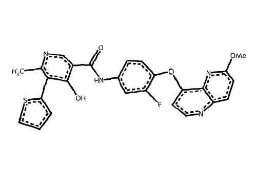 COc1ccc2nccc(Oc3ccc(NC(=O)c4cnc(C)c(-c5cccs5)c4O)cc3F)c2n1